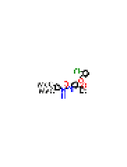 CCC(=O)c1cc(NC(=O)Nc2ccc(OC)c(OC)c2)ccc1OCc1ccccc1Cl